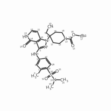 Cc1cc(Nc2nn(C3(CC#N)CCN(C(=O)OC(C)(C)C)CC3)c3cc[nH]c(=O)c23)ccc1S(=O)(=O)N(C)C